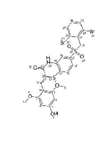 COc1cc(O)cc(OC)c1C=C1Sc2ccc(S(=O)(=O)Cc3c(Br)cccc3Br)cc2NC1=O